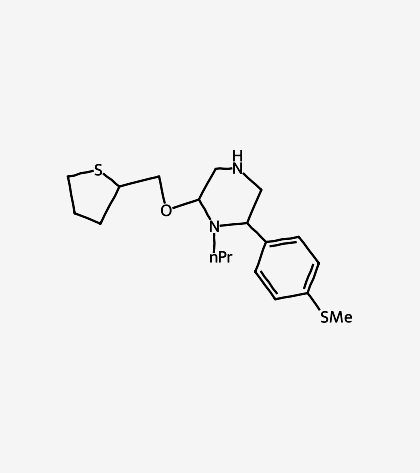 CCCN1C(OCC2CCCS2)CNCC1c1ccc(SC)cc1